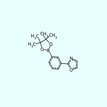 CC1(C)OB(c2cccc(-c3ncco3)c2)OC1(C)C